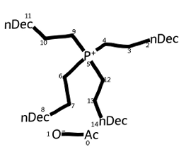 CC(=O)[O-].CCCCCCCCCCCC[P+](CCCCCCCCCCCC)(CCCCCCCCCCCC)CCCCCCCCCCCC